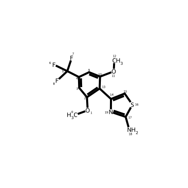 COc1cc(C(F)(F)F)cc(OC)c1-c1csc(N)n1